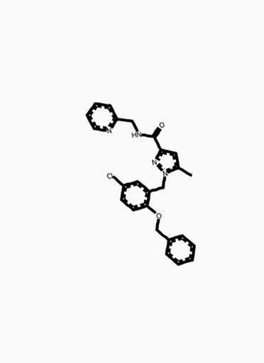 Cc1cc(C(=O)NCc2ccccn2)nn1Cc1cc(Cl)ccc1OCc1ccccc1